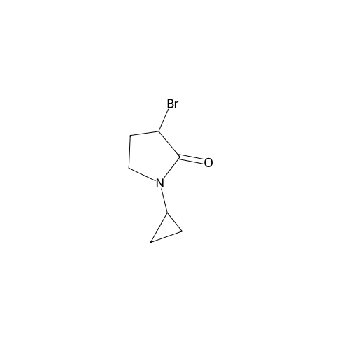 O=C1C(Br)CCN1C1CC1